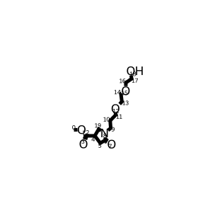 COC(=O)C1CC(=O)N(CCCOCCOCCO)C1